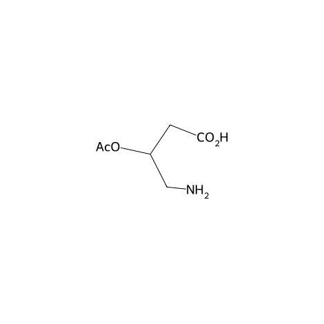 CC(=O)OC(CN)CC(=O)O